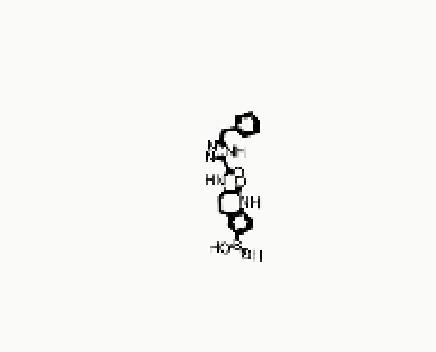 O=C(N[C@H]1CCc2cc(B(O)O)ccc2NC1=O)c1nnc(Cc2ccccc2)[nH]1